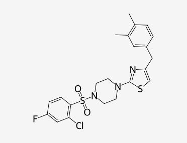 Cc1ccc(Cc2csc(N3CCN(S(=O)(=O)c4ccc(F)cc4Cl)CC3)n2)cc1C